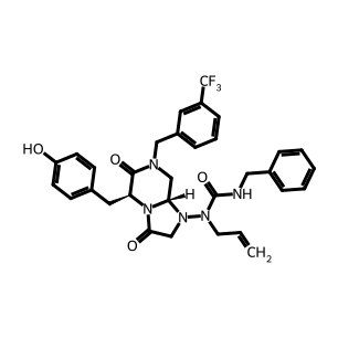 C=CCN(C(=O)NCc1ccccc1)N1CC(=O)N2[C@@H](Cc3ccc(O)cc3)C(=O)N(Cc3cccc(C(F)(F)F)c3)C[C@@H]21